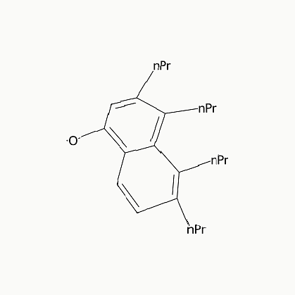 CCCc1ccc2c([O])cc(CCC)c(CCC)c2c1CCC